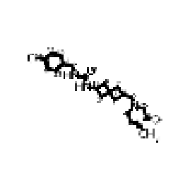 CN1CCN(CC2CC3(C2)CC(NC(=O)NCc2ccc(Cl)cc2)C3)CC1=O